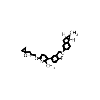 Cc1nc(OCCCC2(O)CC2)ccc1-c1ccc(F)c(COc2ccc3c(c2)C[C@H]2[C@H](C)[C@@H]32)c1